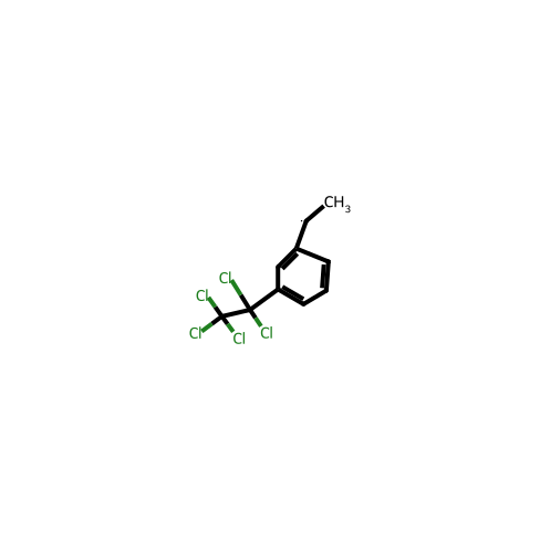 C[CH]c1cccc(C(Cl)(Cl)C(Cl)(Cl)Cl)c1